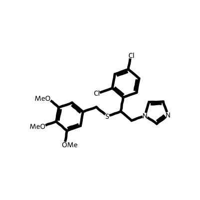 COc1cc(CSC(Cn2ccnc2)c2ccc(Cl)cc2Cl)cc(OC)c1OC